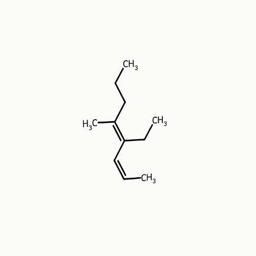 C/C=C\C(CC)=C(/C)CCC